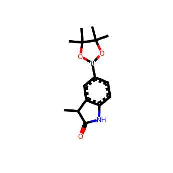 CC1C(=O)Nc2ccc(B3OC(C)(C)C(C)(C)O3)cc21